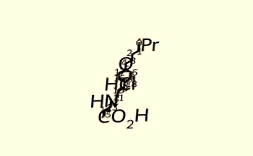 CC(C)CCCOc1ccc(C=CCNCCC(=O)O)cc1.Cl